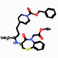 CCOC(=O)[C@@H](CCC1CCN(C(=O)OCc2ccccc2)CC1)N[C@H]1CSc2ccccc2N(CC(=O)OC(C)(C)C)C1=O